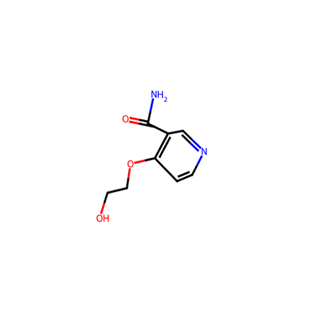 NC(=O)c1cnccc1OCCO